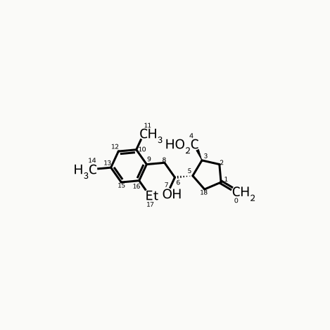 C=C1C[C@H](C(=O)O)[C@@H](C(O)Cc2c(C)cc(C)cc2CC)C1